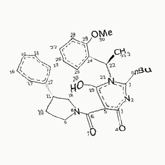 CCCCc1nc(=O)c(C(=O)N2CC[C@H](c3ccccc3)C2)c(O)n1[C@H](C)c1ccccc1OC